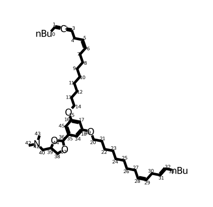 CCCCC=C=CC/C=C\CCCCCCCCOc1cc(OCCCCCCCC/C=C\C/C=C/CCCC)cc(C2OCC(CN(C)C)O2)c1